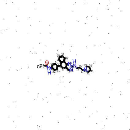 CCCC(=O)Nc1ccc(C2Cc3cnc(NCCCN4CCCC4)nc3-c3ccccc32)cc1